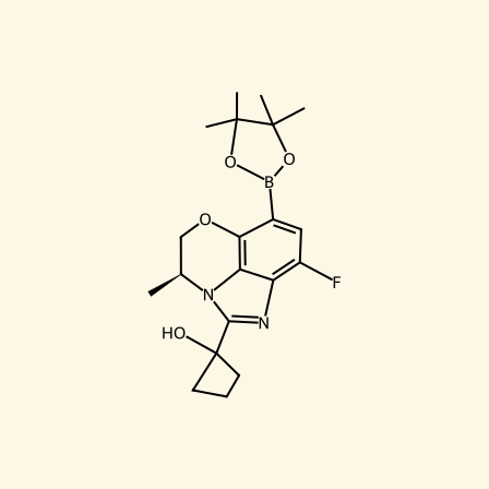 C[C@H]1COc2c(B3OC(C)(C)C(C)(C)O3)cc(F)c3nc(C4(O)CCC4)n1c23